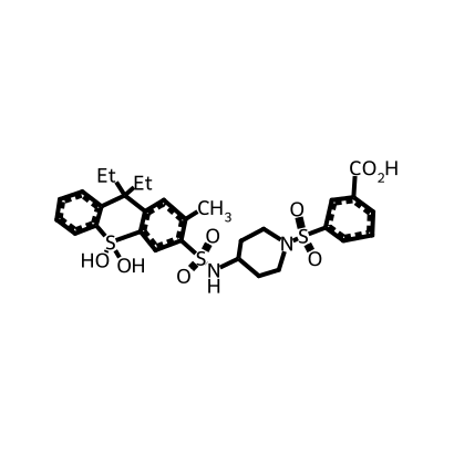 CCC1(CC)c2ccccc2S(O)(O)c2cc(S(=O)(=O)NC3CCN(S(=O)(=O)c4cccc(C(=O)O)c4)CC3)c(C)cc21